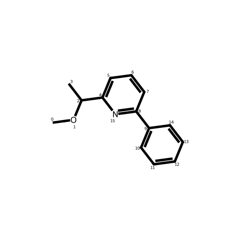 COC(C)c1cccc(-c2ccccc2)n1